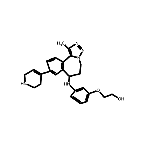 Cc1nnn2c1-c1ccc(C3=CCNCC3)cc1C(Nc1cccc(OCCO)c1)CC2